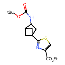 CCOC(=O)c1csc(C23CC(C2)C(NC(=O)OC(C)(C)C)C3)n1